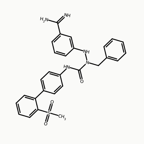 CS(=O)(=O)c1ccccc1-c1ccc(NC(=O)N(Cc2ccccc2)Nc2cccc(C(=N)N)c2)cc1